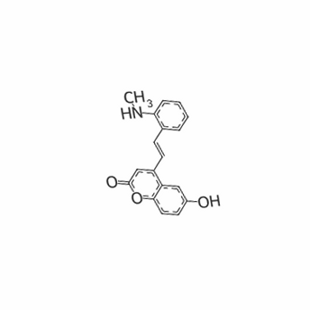 CNc1ccccc1/C=C/c1cc(=O)oc2ccc(O)cc12